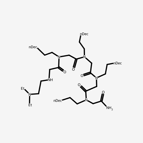 CCCCCCCCCCCCN(CC(N)=O)C(=O)CN(CCCCCCCCCCCC)C(=O)CN(CCCCCCCCCCCC)C(=O)CN(CCCCCCCCCCCC)C(=O)CNCCN(CC)CC